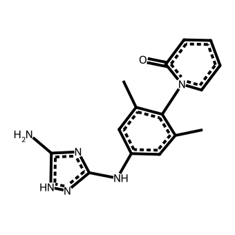 Cc1cc(Nc2n[nH]c(N)n2)cc(C)c1-n1ccccc1=O